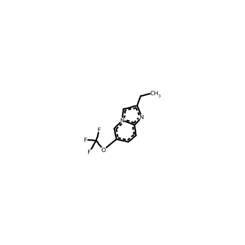 CCc1cn2cc(OC(F)(F)F)ccc2n1